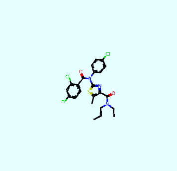 CCCN(CC)C(=O)c1nc(N(C(=O)c2ccc(Cl)cc2Cl)c2ccc(Cl)cc2)sc1C